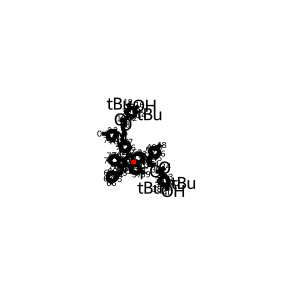 Cc1ccc(N(CCOC(=O)c2cc(C(C)(C)C)c(O)c(C(C)(C)C)c2)c2ccc(C(=C3C=CC(=[N+](CCOC(=O)c4cc(C(C)(C)C)c(O)c(C(C)(C)C)c4)c4ccc(C)cc4)C=C3)c3c(-c4ccc(F)cc4)n(Cc4ccccc4)c4ccccc34)cc2)cc1